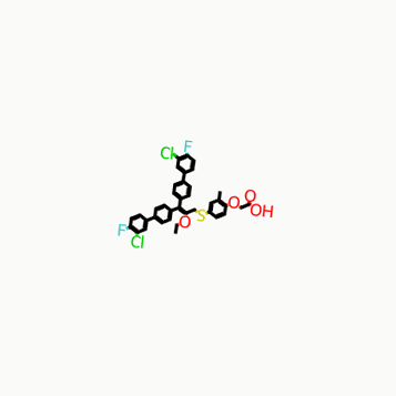 CCOC(CSc1ccc(OCC(=O)O)c(C)c1)=C(c1ccc(-c2ccc(F)c(Cl)c2)cc1)c1ccc(-c2ccc(F)c(Cl)c2)cc1